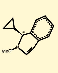 CON1C=Cc2ccccc2[C@@H]1C1CC1